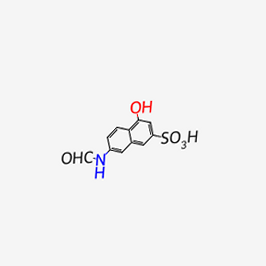 O=CNc1ccc2c(O)cc(S(=O)(=O)O)cc2c1